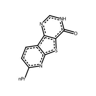 CCCc1ccc2c(n1)sc1c(=O)[nH]cnc12